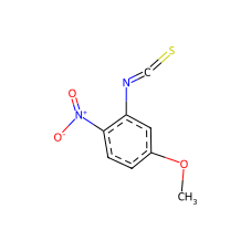 COc1ccc([N+](=O)[O-])c(N=C=S)c1